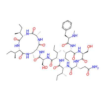 CC[C@@H](C)[C@@H](NC(=O)[C@@H](CCC(N)=O)NC(=O)[C@H](CO)NC(=O)[C@@H](NC(=O)[C@@H](Cc1ccccc1)NC)[C@@H](C)CC)C(=O)N[C@H](C(=O)N[C@@H](CO)C(=O)N[C@H]1C(=O)N[C@@H](C)C(=O)N[C@@H]([C@@H](C)CC)C(=O)N[C@@H]([C@@H](C)CC)C(=O)N[C@H]1C)[C@@H](C)CC